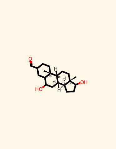 C[C@]12CCC(C=O)CC1C(O)C[C@@H]1[C@H]2CC[C@]2(C)C(O)CC[C@@H]12